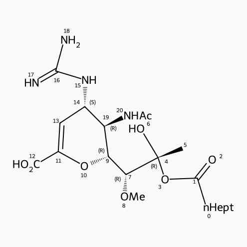 CCCCCCCC(=O)O[C@@](C)(O)[C@H](OC)[C@@H]1OC(C(=O)O)=C[C@H](NC(=N)N)[C@H]1NC(C)=O